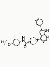 COc1ccc(NC(=O)N2CCN(c3ncnc4[nH]c(-c5cccnc5)cc34)CC2)cc1